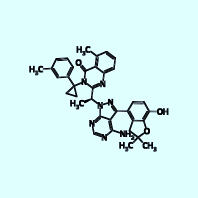 Cc1cccc(C2(n3c([C@H](C)n4nc(-c5ccc(O)c6c5CC(C)(C)O6)c5c(N)ncnc54)nc4cccc(C)c4c3=O)CC2)c1